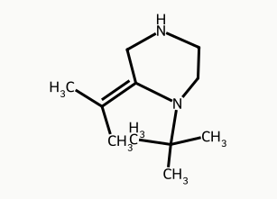 CC(C)=C1CNCCN1C(C)(C)C